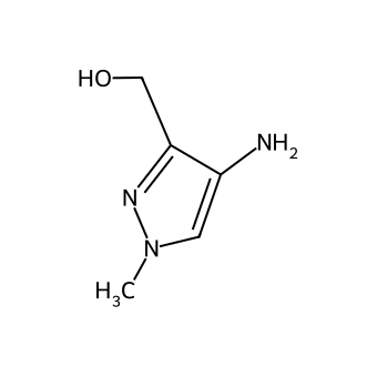 Cn1cc(N)c(CO)n1